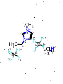 C.C#N.CCn1cc[n+](C)c1.F[B-](F)(F)F.F[B-](F)(F)F